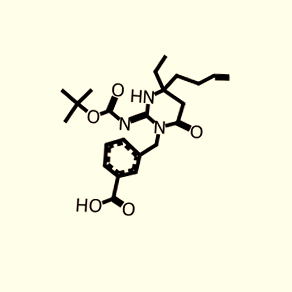 C=CCCC1(CC)CC(=O)N(Cc2cccc(C(=O)O)c2)C(=NC(=O)OC(C)(C)C)N1